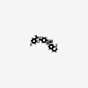 CC(NC(=O)C1CCC(NS(=O)(=O)c2ccc3c(c2)N(C)CCC3)CC1)c1ccc(F)cc1